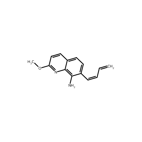 C=C/C=C\c1ccc2ccc(OC)nc2c1N